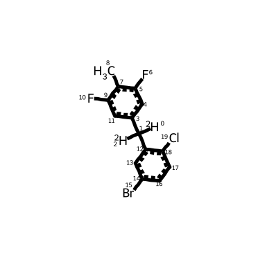 [2H]C([2H])(c1cc(F)c(C)c(F)c1)c1cc(Br)ccc1Cl